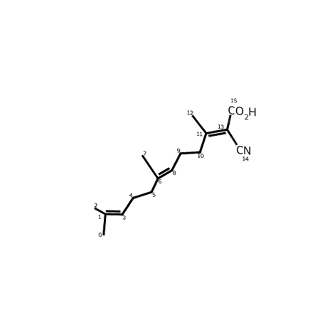 CC(C)=CCC/C(C)=C/CC/C(C)=C(\C#N)C(=O)O